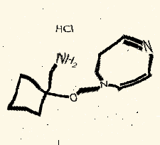 Cl.NC1(ON2C=CN=CC2)CCC1